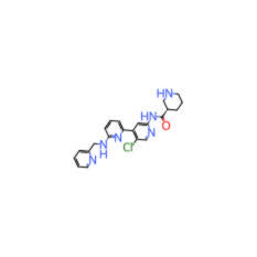 O=C(Nc1cc(-c2cccc(NCc3ccccn3)n2)c(Cl)cn1)[C@@H]1CCCNC1